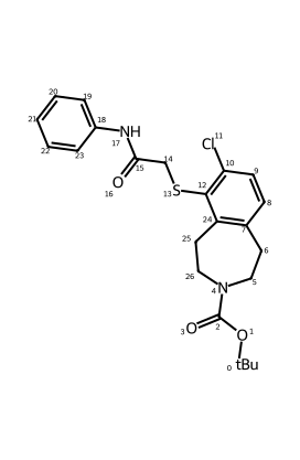 CC(C)(C)OC(=O)N1CCc2ccc(Cl)c(SCC(=O)Nc3ccccc3)c2CC1